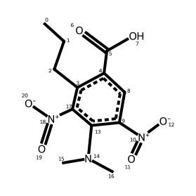 CCCc1c(C(=O)O)cc([N+](=O)[O-])c(N(C)C)c1[N+](=O)[O-]